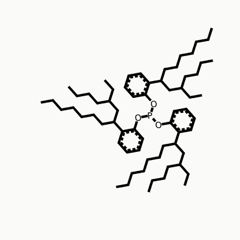 CCCCCCCC(CC(CC)CCCC)c1ccccc1OP(Oc1ccccc1C(CCCCCCC)CC(CC)CCCC)Oc1ccccc1C(CCCCCCC)CC(CC)CCCC